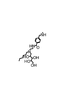 CCCCCCN(CCNC(=O)c1ccc(CNC)cc1)CC(O)C(O)C(O)CO